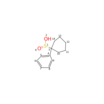 O=S(O)C1(c2ccccc2)CCCCC1